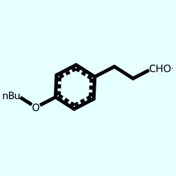 CCCCOc1ccc(CC[C]=O)cc1